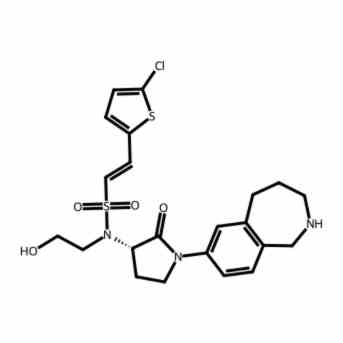 O=C1[C@@H](N(CCO)S(=O)(=O)C=Cc2ccc(Cl)s2)CCN1c1ccc2c(c1)CCCNC2